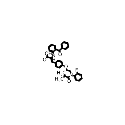 C=C(C)C(=O)N(CCOc1ccc(CC(Nc2ccccc2C(=O)c2ccccc2)C(=O)O)cc1)c1ccccc1F